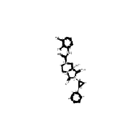 O=C(Nc1cccc(Cl)c1Cl)N1CCN2C(=O)N([C@@H]3C[C@H]3c3ccccc3)C(=O)[C@@H]2C1